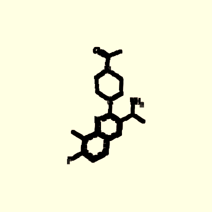 CC(=O)N1CCN(c2nc3c(C)c(F)ccc3cc2C(C)N)CC1